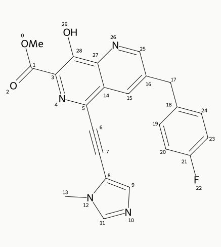 COC(=O)c1nc(C#Cc2cncn2C)c2cc(Cc3ccc(F)cc3)cnc2c1O